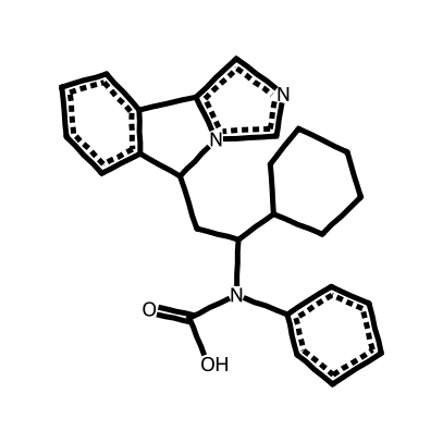 O=C(O)N(c1ccccc1)C(CC1c2ccccc2-c2cncn21)C1CCCCC1